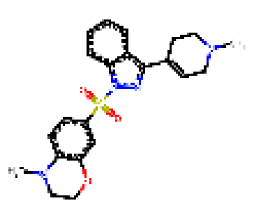 CN1CC=C(c2nn(S(=O)(=O)c3ccc4c(c3)OCCN4C)c3ccccc23)CC1